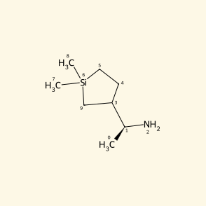 C[C@H](N)C1CC[Si](C)(C)C1